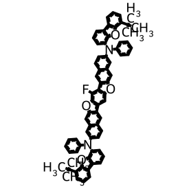 CC(C)(C)c1cccc2c1oc1c(N(c3ccccc3)c3ccc4cc5c(cc4c3)oc3c(F)c4c(cc35)oc3cc5cc(N(c6ccccc6)c6cccc7c6oc6c(C(C)(C)C)cccc67)ccc5cc34)cccc12